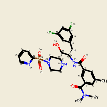 CCCN(CCC)C(=O)c1cc(C)cc(C(=O)N[C@@H](Cc2cc(F)cc(F)c2)C(O)[C@H]2CN(S(=O)(=O)c3ccccn3)CCN2)c1